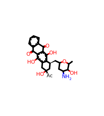 CC(=O)C1(O)Cc2c(O)c3c(c(O)c2[C@@H](CC2CC(N)C(O)C(C)O2)C1)C(=O)c1ccccc1C3=O